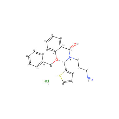 Cl.NCCCN(Cc1cccs1)C(=O)c1ccccc1OCc1ccccc1